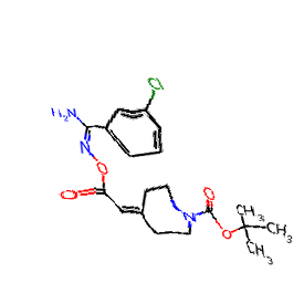 CC(C)(C)OC(=O)N1CCC(=CC(=O)O/N=C(/N)c2cccc(Cl)c2)CC1